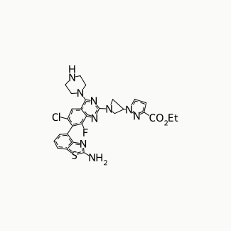 CCOC(=O)c1ccn(C2CN(c3nc(N4CCNCC4)c4cc(Cl)c(-c5cccc6sc(N)nc56)c(F)c4n3)C2)n1